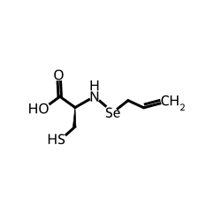 C=CC[Se]N[C@@H](CS)C(=O)O